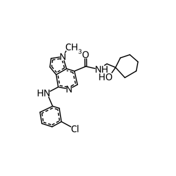 Cn1ccc2c(Nc3cccc(Cl)c3)ncc(C(=O)NCC3(O)CCCCC3)c21